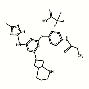 Cc1cc(Nc2cc(N3CC4CCCNC4C3)nc(Sc3ccc(NC(=O)CC(F)(F)F)cc3)n2)[nH]n1.O=C(O)C(F)(F)F